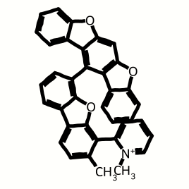 Cc1ccc2c(oc3c(-c4c5c(cc6oc7ccccc7c46)oc4ccccc45)cccc32)c1-c1cccc[n+]1C